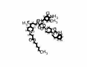 CCCCCCOC(=O)CCN1CCC(C(C)CCN(C)C(=O)[C@@H](Cc2cc(C)c(N)c(Cl)c2)OC(=O)N2CCC(N3CCc4ccccc4NC3=O)CC2)CC1